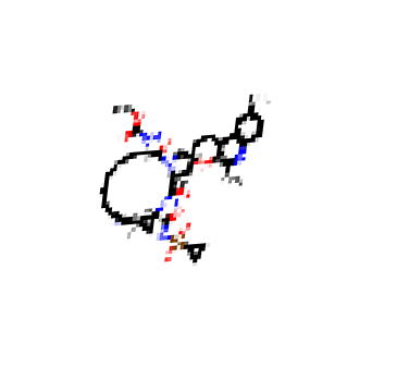 Cc1ccc2nc(C)c3c(c2c1)CC[C@]1(C[C@H]2C(=O)N[C@]4(C(=O)NS(=O)(=O)C5CC5)C[C@H]4/C=C\CCCCC[C@H](NC(=O)OC(C)(C)C)C(=O)N2C1)O3